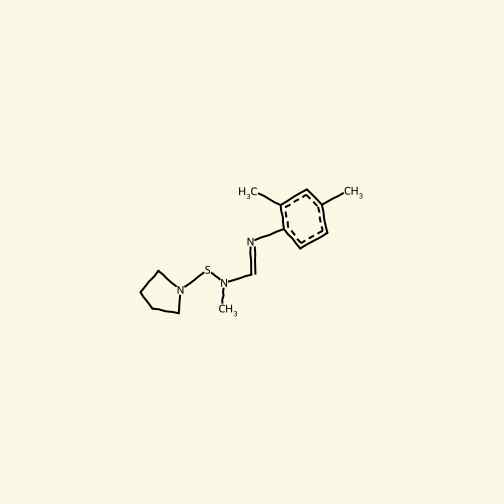 Cc1ccc(N=CN(C)SN2CCCC2)c(C)c1